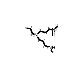 CCCN(CCCNC)CCCNC